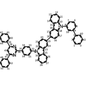 c1ccc(-c2cccc(-n3c4ccccc4c4cc(-c5ccc6c(c5)c5ccccc5n6-c5ccc(-c6nc(-c7ccccc7)cc(-c7ccccc7)n6)cc5)ccc43)c2)cc1